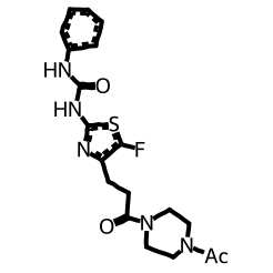 CC(=O)N1CCN(C(=O)CCc2nc(NC(=O)Nc3ccccc3)sc2F)CC1